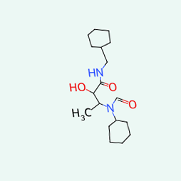 CC(C(O)C(=O)NCC1CCCCC1)N(C=O)C1CCCCC1